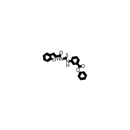 O=C(Oc1ccccc1)c1cccc(NC(=S)NC(=O)c2cc3ccccc3o2)c1